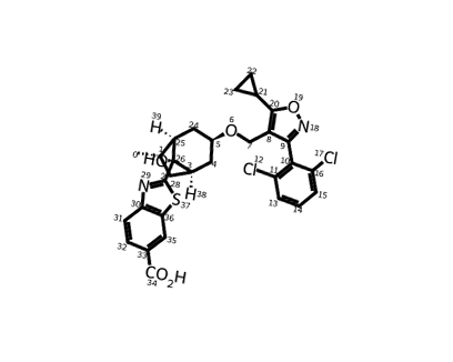 C[C@H]1C[C@@H]2C[C@H](OCc3c(-c4c(Cl)cccc4Cl)noc3C3CC3)C[C@H]1[C@]2(O)c1nc2ccc(C(=O)O)cc2s1